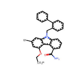 CCc1cc(OCC(=O)O)c2c3c(C(N)=O)cccc3n(Cc3ccccc3-c3ccccc3)c2c1